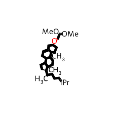 COC(CO[C@H]1CC[C@@]2(C)C(=CCC3C2CC[C@@]2(C)C3CC[C@@H]2[C@H](C)CCCC(C)C)C1)OC